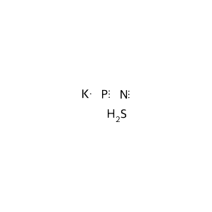 S.[K].[N].[P]